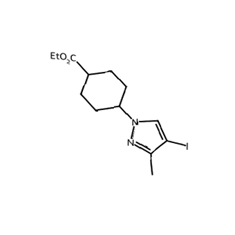 CCOC(=O)C1CCC(n2cc(I)c(C)n2)CC1